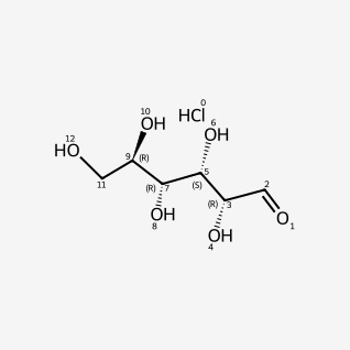 Cl.O=C[C@H](O)[C@@H](O)[C@H](O)[C@H](O)CO